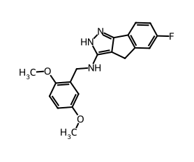 COc1ccc(OC)c(CNc2[nH]nc3c2Cc2cc(F)ccc2-3)c1